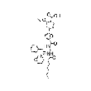 CCCCCC(C(=O)NCNC(=O)c1ccc(-c2ccc(C(=O)O)c(OCC)c2)o1)[C@@H](CC)N(C=O)OCc1ccccc1